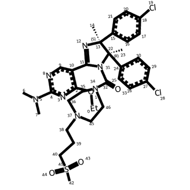 CCOc1nc(N(C)C)ncc1C1=N[C@@](C)(c2ccc(Cl)cc2)[C@@](C)(c2ccc(Cl)cc2)N1C(=O)N1CCN(CCCS(C)(=O)=O)CC1